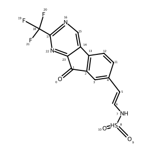 O=C1c2cc(C=CN[SH](=O)=O)ccc2-c2cnc(C(F)(F)F)nc21